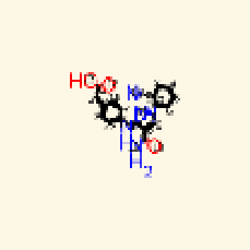 N#C[C@@H]1CCCC[C@@H]1n1cc(C(N)=O)c(Nc2ccc(CC(=O)O)cc2)n1